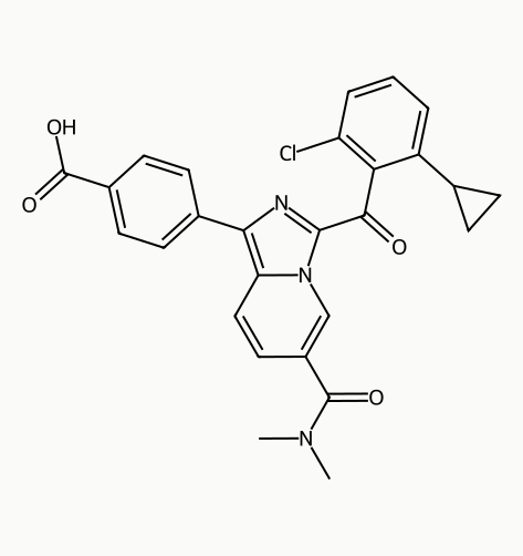 CN(C)C(=O)c1ccc2c(-c3ccc(C(=O)O)cc3)nc(C(=O)c3c(Cl)cccc3C3CC3)n2c1